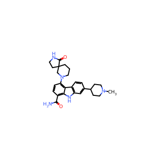 CN1CCC(c2ccc3c(c2)[nH]c2c(C(N)=O)ccc(N4CCCC5(CCNC5=O)C4)c23)CC1